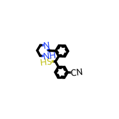 N#Cc1cccc(C(S)c2ccccc2C2=NCCCN2)c1